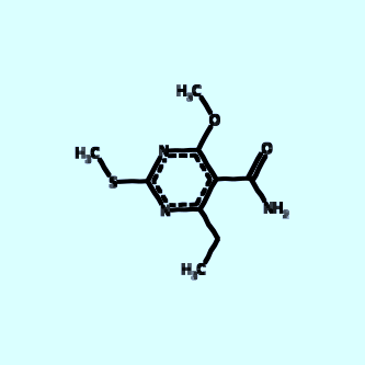 CCc1nc(SC)nc(OC)c1C(N)=O